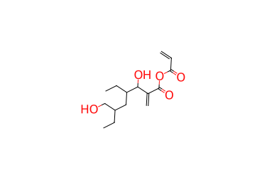 C=CC(=O)OC(=O)C(=C)C(O)C(CC)CC(CC)CO